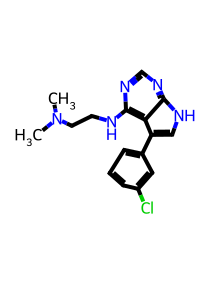 CN(C)CCNc1ncnc2[nH]cc(-c3cccc(Cl)c3)c12